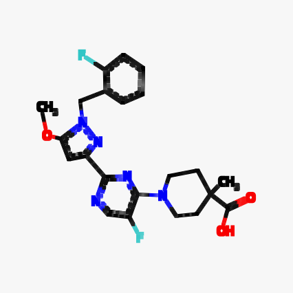 COc1cc(-c2ncc(F)c(N3CCC(C)(C(=O)O)CC3)n2)nn1Cc1ccccc1F